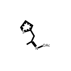 CC(=O)O/N=C(/C)Cc1cccs1